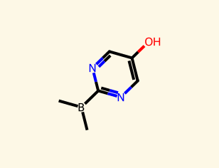 CB(C)c1ncc(O)cn1